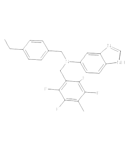 CCc1ccc(CN(Cc2c(F)c(F)c(C)c(F)c2F)c2ccc3[nH]cnc3c2)cc1